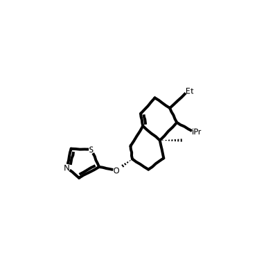 CCC1CC=C2C[C@@H](Oc3cncs3)CC[C@]2(C)C1C(C)C